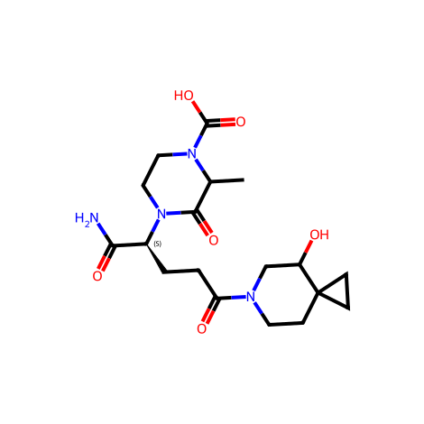 CC1C(=O)N([C@@H](CCC(=O)N2CCC3(CC3)C(O)C2)C(N)=O)CCN1C(=O)O